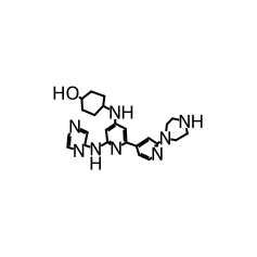 OC1CCC(Nc2cc(Nc3cnccn3)nc(-c3ccnc(N4CCNCC4)c3)c2)CC1